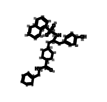 O=C(NCc1ccccc1)N1CCN(CC(Cc2ccc(O)cc2)NS(=O)(=O)c2cccc3cnccc23)CC1